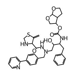 C=C1SCNC1C(=O)NN(Cc1ccc(-c2ccccn2)cc1)CC(O)C(Cc1ccccc1)NC(=O)OC1COC2OCCC12